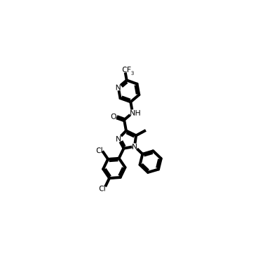 Cc1c(C(=O)Nc2ccc(C(F)(F)F)nc2)nc(-c2ccc(Cl)cc2Cl)n1-c1ccccc1